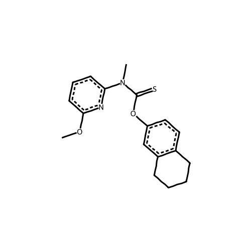 COc1cccc(N(C)C(=S)Oc2ccc3c(c2)CCCC3)n1